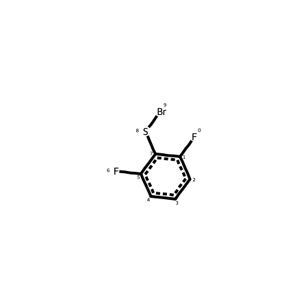 Fc1cccc(F)c1SBr